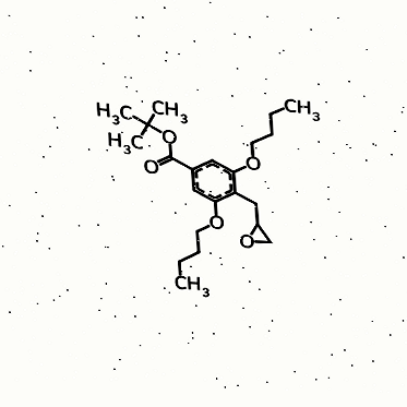 CCCCOc1cc(C(=O)OC(C)(C)C)cc(OCCCC)c1CC1CO1